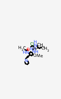 C=C/C=C(\C(=C)Nc1nc(Nc2cc(NC(=O)C=C)c(C#CCN3CCCCC3)cc2OC)ncc1Cl)C(C)C